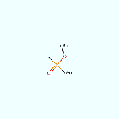 CCCCOP(C)(=O)CCCC